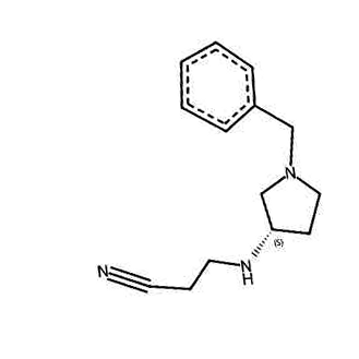 N#CCCN[C@H]1CCN(Cc2ccccc2)C1